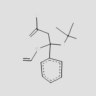 CC(C)(C)OC(CC(=O)O)(NC=O)c1ccccc1